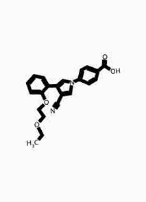 CCOCCOc1ccccc1-c1cn(-c2ccc(C(=O)O)cc2)cc1C#N